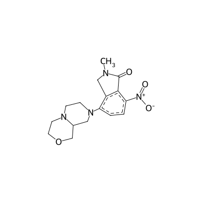 CN1Cc2c(N3CCN4CCOCC4C3)ccc([N+](=O)[O-])c2C1=O